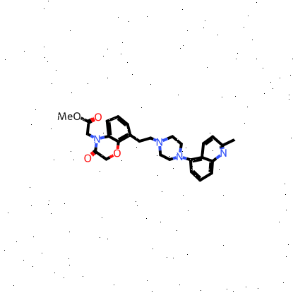 COC(=O)CN1C(=O)COc2c(CCN3CCN(c4cccc5nc(C)ccc45)CC3)cccc21